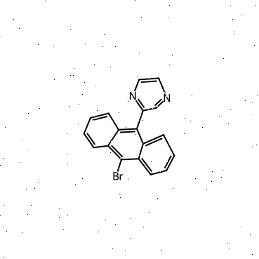 Brc1c2ccccc2c(-c2cnccn2)c2ccccc12